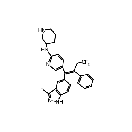 Fc1n[nH]c2ccc(C(=C(CC(F)(F)F)c3ccccc3)c3ccc(NC4CCCNC4)nc3)cc12